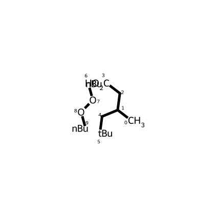 CC(CC(=O)O)CC(C)(C)C.CCCCOOCCCC